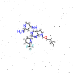 C[Si](C)(C)CCOCn1ccc2c(Nc3ccnc(N)c3)nc(-c3cccc(C(F)(F)F)n3)nc21